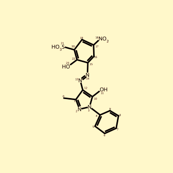 Cc1nn(-c2ccccc2)c(O)c1N=Nc1cc([N+](=O)[O-])cc(S(=O)(=O)O)c1O